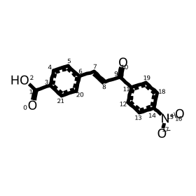 O=C(O)c1ccc(/C=C/C(=O)c2ccc([N+](=O)[O-])cc2)cc1